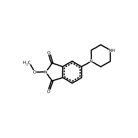 CON1C(=O)c2ccc(N3CCNCC3)cc2C1=O